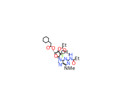 CCC(=O)Nc1nc(NC)c2ncn([C@@H]3O[C@H](COC(=O)CC4CCCCC4)[C@@H](OC(=O)CC)[C@@]3(C)F)c2n1